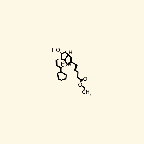 CCOC(=O)CCC=CC1=C[C@H]2C[C@@H](O)[C@@H](/C=C\[C@@H](O)C3CCCCC3)[C@H]2C1